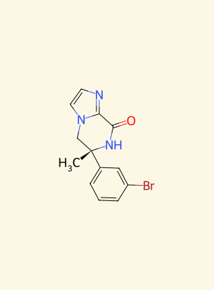 C[C@@]1(c2cccc(Br)c2)Cn2ccnc2C(=O)N1